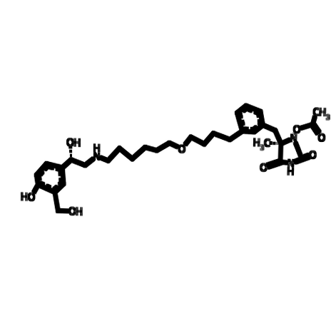 CC(=O)ON1C(=O)NC(=O)[C@@]1(C)Cc1cccc(CCCCOCCCCCCNC[C@@H](O)c2ccc(O)c(CO)c2)c1